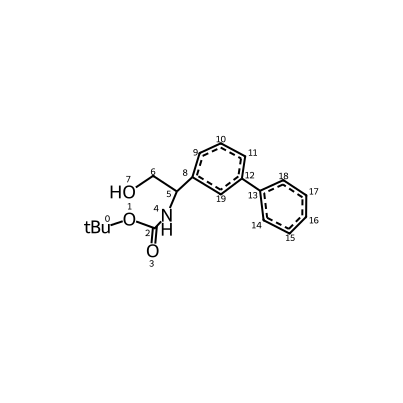 CC(C)(C)OC(=O)NC(CO)c1cccc(-c2ccccc2)c1